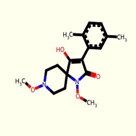 CON1CCC2(CC1)C(O)=C(c1cc(C)ccc1C)C(=O)N2OC